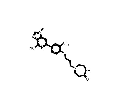 Cn1cnc2c(C#N)nc(-c3ccc(OCCCN4CCNC(=O)CC4)c(C(F)(F)F)c3)cc21